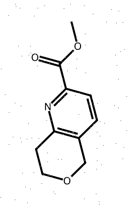 COC(=O)c1ccc2c(n1)CCOC2